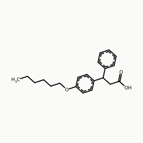 CCCCCCOc1ccc(C(CC(=O)O)c2ccccc2)cc1